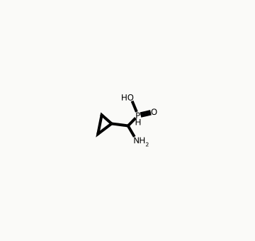 NC(C1CC1)[PH](=O)O